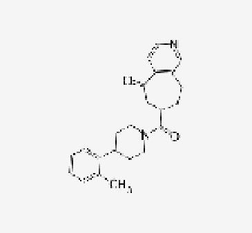 Cc1ccccc1C1CCN(C(=O)C2CCc3cnccc3C(=O)C2)CC1